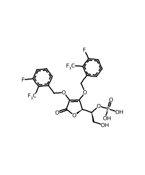 O=C1O[C@H]([C@H](CO)OP(=O)(O)O)C(OCc2cccc(F)c2C(F)(F)F)=C1OCc1cccc(F)c1C(F)(F)F